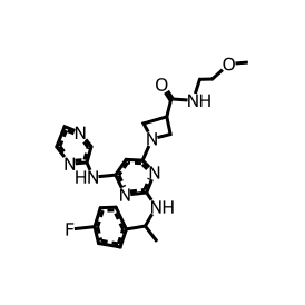 COCCNC(=O)C1CN(c2cc(Nc3cnccn3)nc(NC(C)c3ccc(F)cc3)n2)C1